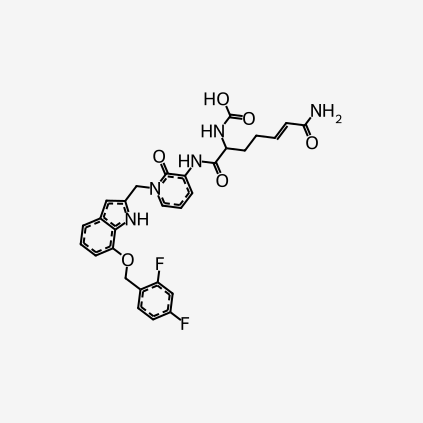 NC(=O)C=CCCC(NC(=O)O)C(=O)Nc1cccn(Cc2cc3cccc(OCc4ccc(F)cc4F)c3[nH]2)c1=O